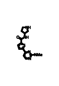 CNc1nccc(-c2ccc(C(=O)NC3CCNC3)s2)n1